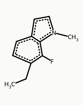 CCc1ccc2ccn(C)c2c1F